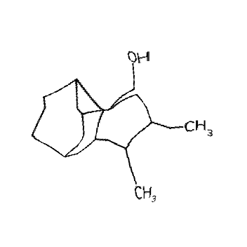 CC1CC2C3CCC(CC3CO)C2C1C